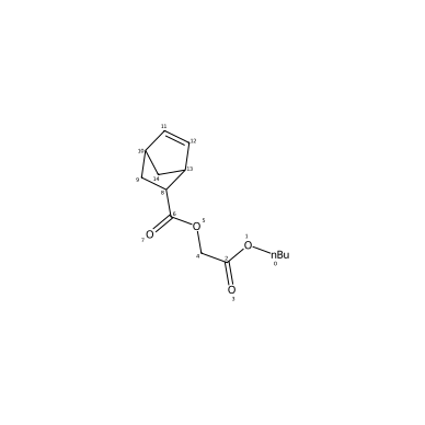 CCCCOC(=O)COC(=O)C1CC2C=CC1C2